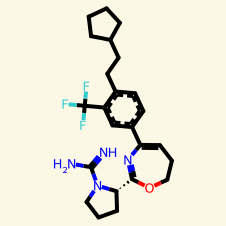 N=C(N)N1CCC[C@H]1C1=NC(c2ccc(CCC3CCCC3)c(C(F)(F)F)c2)=CCCO1